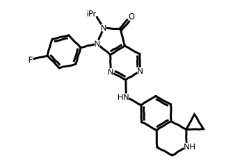 CC(C)n1c(=O)c2cnc(Nc3ccc4c(c3)CCNC43CC3)nc2n1-c1ccc(F)cc1